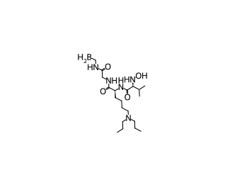 BCNC(=O)CNC(=O)[C@H](CCCCN(CCC)CCC)NC(=O)[C@@H](NO)C(C)C